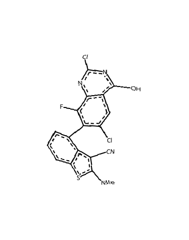 CNc1sc2cccc(-c3c(Cl)cc4c(O)nc(Cl)nc4c3F)c2c1C#N